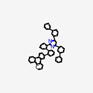 c1ccc(-c2cccc(-c3cc(-c4cccc(-c5ccccc5)c4)nc(-c4ccccc4-c4ccccc4-c4ccc5c6ccccc6c6ccccc6c5c4)n3)c2)cc1